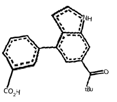 CC(C)(C)C(=O)c1cc(-c2cccc(C(=O)O)c2)c2cc[nH]c2c1